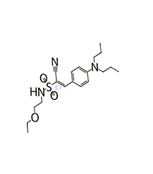 CCCN(CCC)c1ccc(/C=C(\C#N)S(=O)(=O)NCCOCC)cc1